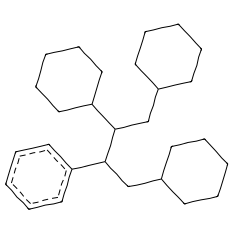 c1ccc(C(CC2CCCCC2)C(CC2CCCCC2)C2CCCCC2)cc1